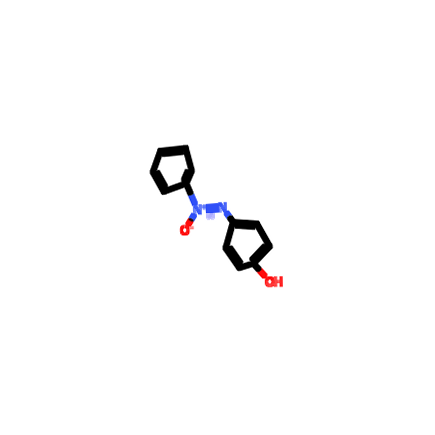 [O-]/[N+](=N\c1ccc(O)cc1)c1ccccc1